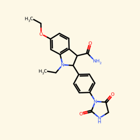 CCOc1ccc2c(c1)N(CC)C(c1ccc(N3C(=O)CNC3=O)cc1)C2C(N)=O